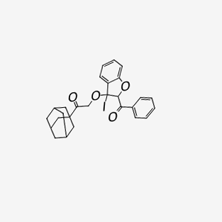 O=C(c1ccccc1)C1Oc2ccccc2C1(I)OCC(=O)C12CC3CC(CC(C3)C1)C2